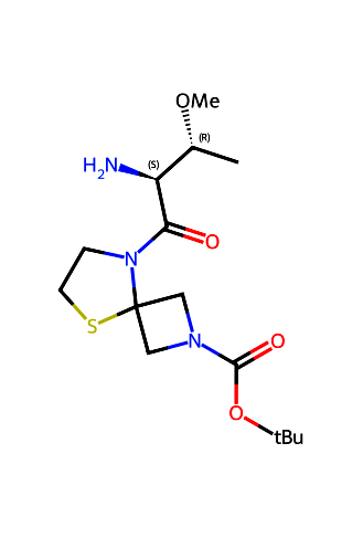 CO[C@H](C)[C@H](N)C(=O)N1CCSC12CN(C(=O)OC(C)(C)C)C2